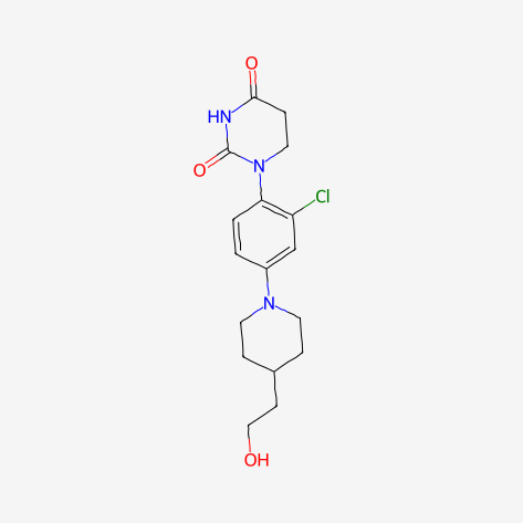 O=C1CCN(c2ccc(N3CCC(CCO)CC3)cc2Cl)C(=O)N1